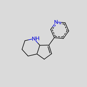 C1=C(c2cccnc2)C2NCCCC2C1